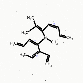 C=C/C=C\C(=C(C)C)N(C)C(=C/C=C)/C(C=C)=C\C